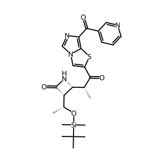 C[C@@H](O[Si](C)(C)C(C)(C)C)[C@@H]1C(=O)N[C@@H]1[C@@H](C)C(=O)c1cn2cnc(C(=O)c3cccnc3)c2s1